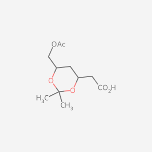 CC(=O)OCC1CC(CC(=O)O)OC(C)(C)O1